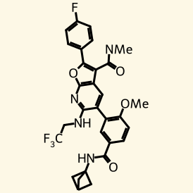 CNC(=O)c1c(-c2ccc(F)cc2)oc2nc(NCC(F)(F)F)c(-c3cc(C(=O)NC45CC(C4)C5)ccc3OC)cc12